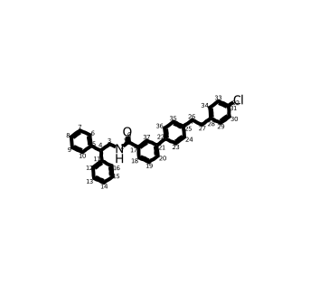 O=C(NCC(c1ccccc1)c1ccccc1)c1cccc(-c2ccc([CH]Cc3ccc(Cl)cc3)cc2)c1